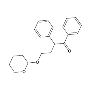 O=C(c1ccccc1)C(CCOC1CCCCO1)c1ccccc1